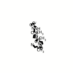 CN(CCC#N)C(=O)n1ccc(N(C)C(=O)n2ccc(N(C)C(=O)c3nc([N+](=O)[O-])c[nH]3)n2)n1